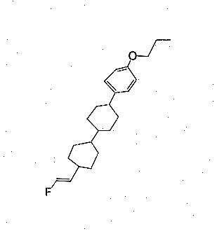 CCCOc1ccc(C2CCC(C3CCC(C=CF)CC3)CC2)cc1